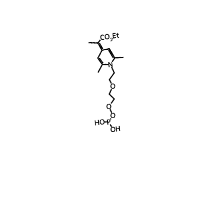 CCOC(=O)C(C)=C1C=C(C)N(CCOCCOOP(O)O)C(C)=C1